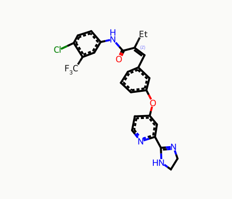 CC/C(=C/c1cccc(Oc2ccnc(C3=NCCN3)c2)c1)C(=O)Nc1ccc(Cl)c(C(F)(F)F)c1